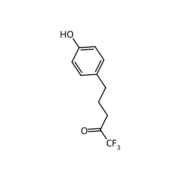 O=C(CCCc1ccc(O)cc1)C(F)(F)F